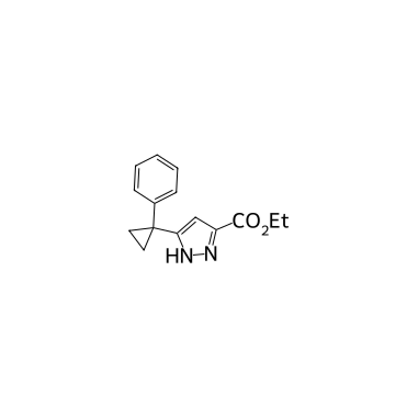 CCOC(=O)c1cc(C2(c3ccccc3)CC2)[nH]n1